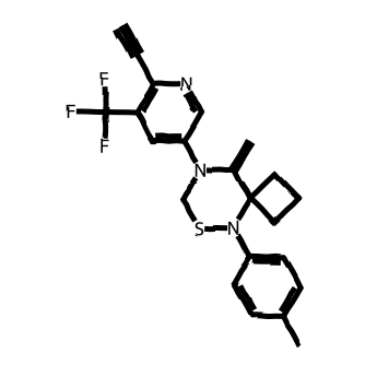 C#Cc1ncc(N2CSN(c3ccc(C)cc3)C3(CCC3)C2=C)cc1C(F)(F)F